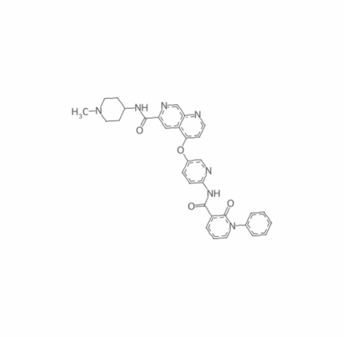 CN1CCC(NC(=O)c2cc3c(Oc4ccc(NC(=O)c5cccn(-c6ccccc6)c5=O)nc4)ccnc3cn2)CC1